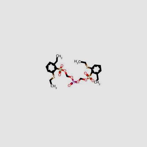 CCSc1cccc(CC)c1S(=O)(=O)OCO[PH](=O)OCOS(=O)(=O)c1c(CC)cccc1SCC